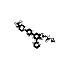 CCNC(=O)Nc1nc2cc(-c3ccc(N4CCC(C)(C(=O)O)CC4)nc3)cc(-c3ccccn3)c2s1